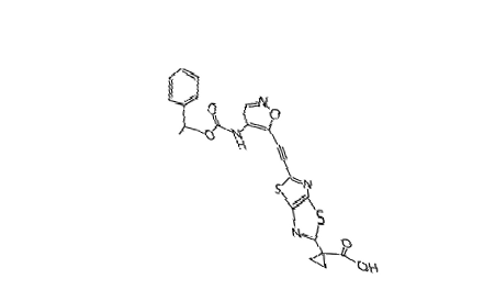 CC(OC(=O)Nc1cnoc1C#Cc1nc2sc(C3(C(=O)O)CC3)nc2s1)c1ccccc1